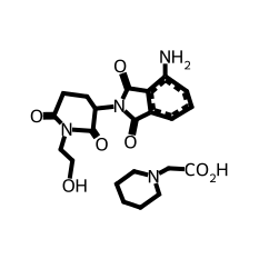 Nc1cccc2c1C(=O)N(C1CCC(=O)N(CCO)C1=O)C2=O.O=C(O)CN1CCCCC1